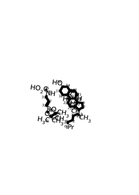 CC(C)CCCC(C)[C@H]1CC[C@H]2[C@@H]3CC=C4C[C@@H](O)CC[C@]4(C)[C@H]3CC[C@]12C.CC1(C)OB(C=CCNC(=O)O)OC1(C)C